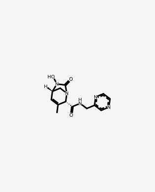 CC1=C[C@H]2CN(C(=O)N2O)[C@@H]1C(=O)NCc1cnccn1